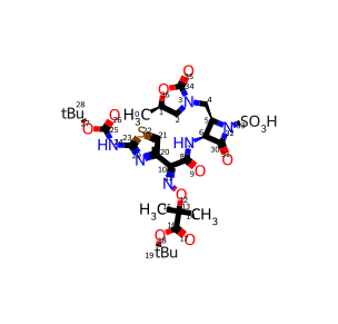 C[C@@H]1CN(C[C@@H]2[C@H](NC(=O)/C(=N\OC(C)(C)C(=O)OC(C)(C)C)c3csc(NC(=O)OC(C)(C)C)n3)C(=O)N2S(=O)(=O)O)C(=O)O1